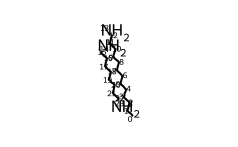 CCCCCCCCCCCCCN.NCCCCCCCCN